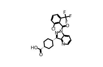 O=C(c1c(Cl)cccc1C(F)(F)F)n1nc([C@H]2CC[C@@H](C(=O)O)CC2)c2ncccc21